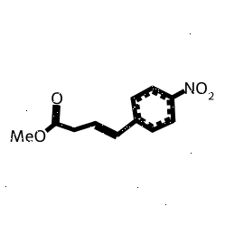 COC(=O)C/C=C/c1ccc([N+](=O)[O-])cc1